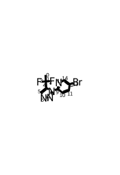 CC(F)(F)c1cnnn1-c1ccc(Br)cn1